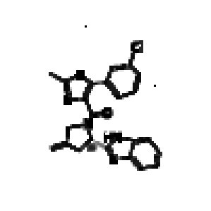 C=C1C[C@@H](c2nc3ccccc3[nH]2)N(C(=O)c2nc(C)sc2-c2cccc(Cl)c2)C1